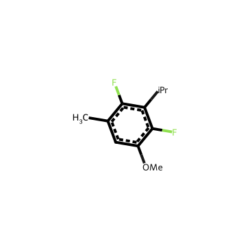 COc1cc(C)c(F)c(C(C)C)c1F